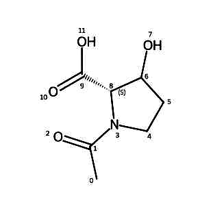 CC(=O)N1CCC(O)[C@H]1C(=O)O